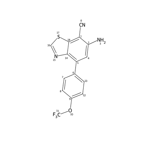 N#Cc1c(N)cc(-c2ccc(OC(F)(F)F)cc2)c2ncsc12